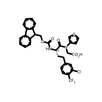 O=C(O)CN(C(=O)[C@H](CCc1ccc(C(F)(F)F)c(Cl)c1)NC(=O)OCC1c2ccccc2-c2ccccc21)c1ccsc1